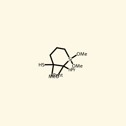 CCCCCC1(S)CCC[Si](OC)(OC)C1(CCC)OC